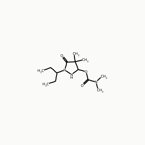 CCC(CC)N1NC(OC(=O)N(C)C)C(C)(C)C1=O